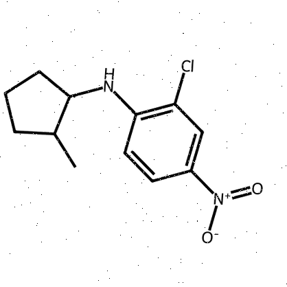 CC1CCC[C]1Nc1ccc([N+](=O)[O-])cc1Cl